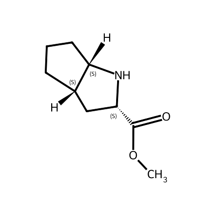 COC(=O)[C@@H]1C[C@@H]2CCC[C@@H]2N1